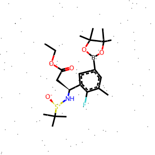 CCOC(=O)C[C@H](N[S@+]([O-])C(C)(C)C)c1cc(B2OC(C)(C)C(C)(C)O2)cc(C)c1F